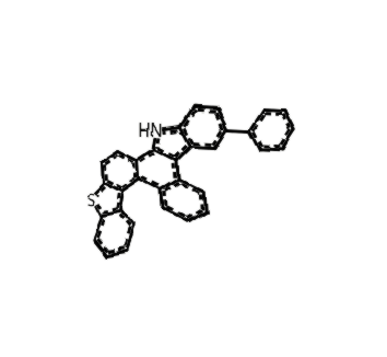 c1ccc(-c2ccc3[nH]c4c5ccc6sc7ccccc7c6c5c5ccccc5c4c3c2)cc1